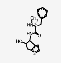 CN[C@@H](Cc1ccccc1)C(=O)NC1c2ccsc2CC1O